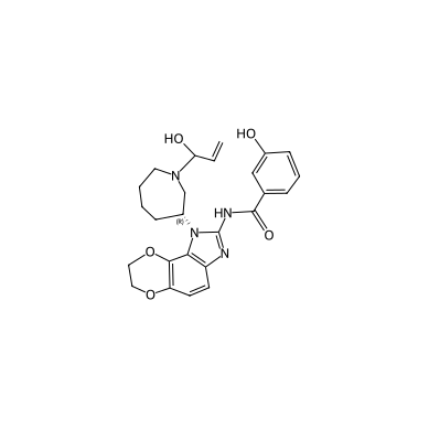 C=CC(O)N1CCCC[C@@H](n2c(NC(=O)c3cccc(O)c3)nc3ccc4c(c32)OCCO4)C1